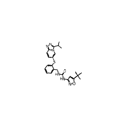 CC(C)c1nnc2ccc(Sc3ccccc3CNC(=O)Nc3cc(C(C)(C)C)on3)cn12